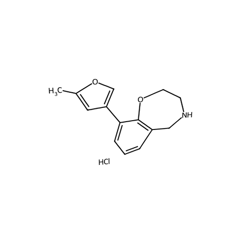 Cc1cc(-c2cccc3c2OCCNC3)co1.Cl